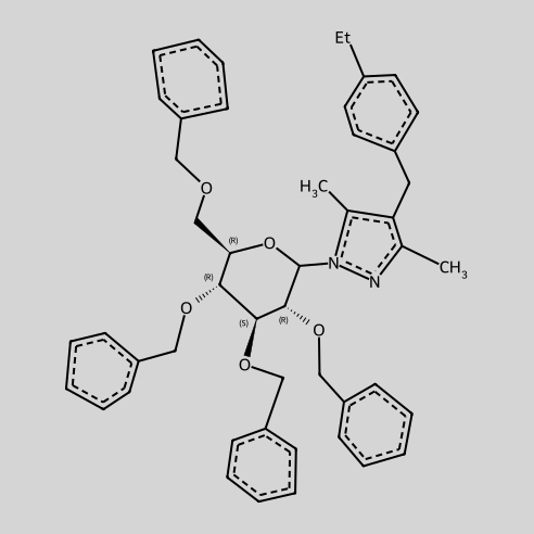 CCc1ccc(Cc2c(C)nn(C3O[C@H](COCc4ccccc4)[C@@H](OCc4ccccc4)[C@H](OCc4ccccc4)[C@H]3OCc3ccccc3)c2C)cc1